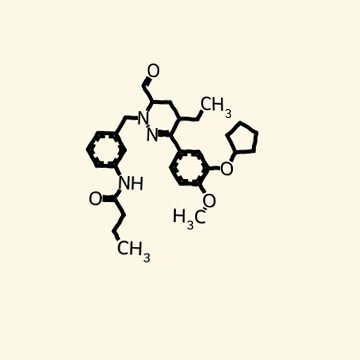 CCCC(=O)Nc1cccc(CN2N=C(c3ccc(OC)c(OC4CCCC4)c3)C(CC)CC2C=O)c1